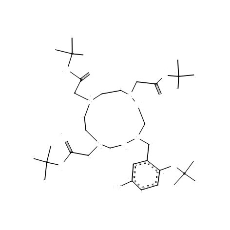 CC(C)(C)OC(=O)CN1CCN(CC(=O)OC(C)(C)C)CCN(Cc2cc(N)ccc2OC(C)(C)C)CCN(CC(=O)OC(C)(C)C)CC1